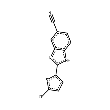 N#Cc1ccc2[nH]c(-c3ccc(Cl)s3)nc2c1